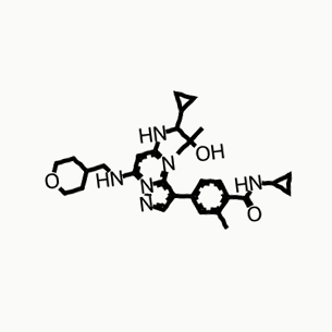 Cc1cc(-c2cnn3c(NCC4CCOCC4)cc(NC(C4CC4)C(C)(C)O)nc23)ccc1C(=O)NC1CC1